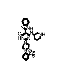 CS(=O)(=O)c1ccccc1N1CCN(c2nc(NC3CCCNC3)c(-c3nc4ccccc4s3)c(=O)[nH]2)CC1